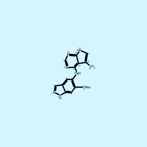 COc1cc2[nH]ncc2cc1Nc1ncnc2[nH]cc(C)c12